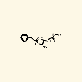 CCNC(=O)CNC(=O)[C@@H](NC(=O)OCc1ccccc1)C(C)C